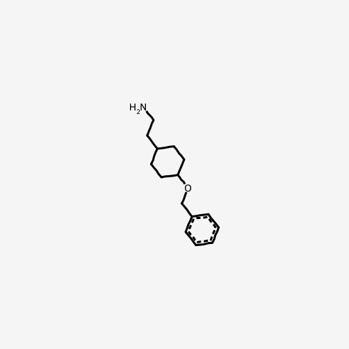 NCCC1CCC(OCc2ccccc2)CC1